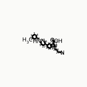 Cc1cccc(CNc2ccc(-c3ccc4c(c3)c(C(=O)O)nn4CCCC#N)cn2)c1